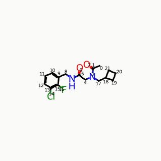 CC(=O)N(CC(=O)NCc1cccc(Cl)c1F)CC1CCC1